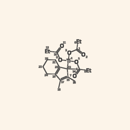 CCC(=O)[O][Ti]([O]C(=O)CC)([O]C(=O)CC)[C]1(C)C(C)=C(C)C2=C1CCCC2